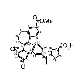 COC(=O)c1ccc2c(c1)CCCC(c1ccc(Cl)cc1Cl)=C2c1ccc(N[C@H]2CCN(C(=O)O)C2)cc1